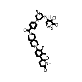 Cc1c(C2CCC(=O)NC2=O)ccc(N2CCC3(CCN(C(=O)c4ccc([C@H]5C[C@@H](Nc6cnn(C)c(=O)c6Cl)CN(C)C5)cc4)CC3)CC2)c1F